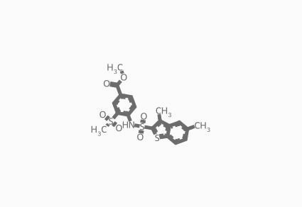 COC(=O)c1ccc(NS(=O)(=O)c2sc3ccc(C)cc3c2C)c(S(C)(=O)=O)c1